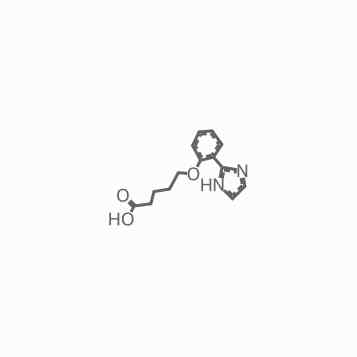 O=C(O)CCCCOc1ccccc1-c1ncc[nH]1